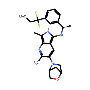 COCC(F)(F)c1cccc([C@@H](C)Nc2[nH]c(C)c3nc(C(F)(F)F)c(N4CC5CC4CO5)cc23)c1